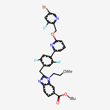 COCCn1c(Cc2cc(F)c(-c3cccc(OCc4ncc(Br)cc4F)n3)cc2F)nc2ccc(C(=O)OC(C)(C)C)cc21